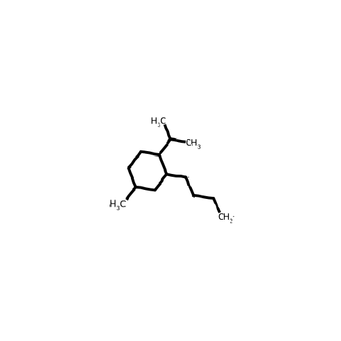 [CH2]CC[CH]C1CC(C)CCC1C(C)C